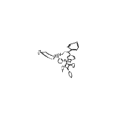 COc1ccc(C(NCCC(c2ccccc2)c2ccccc2)c2cccc(Nc3c(OC)c(=O)c3=O)c2)cc1